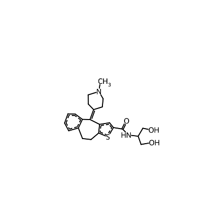 CN1CCC(=C2c3ccccc3CCc3sc(C(=O)NC(CO)CO)cc32)CC1